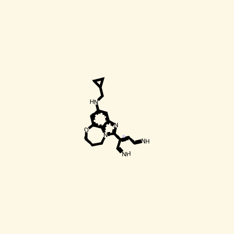 N=C/C=C(\C=N)c1nc2cc(NCC3CC3)cc3c2n1CCCO3